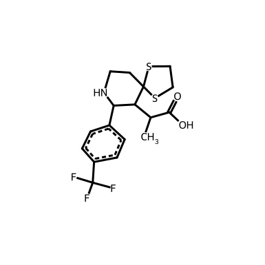 CC(C(=O)O)C1C(c2ccc(C(F)(F)F)cc2)NCCC12SCCS2